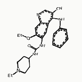 CCOc1cc2ncc(C#N)c(Nc3ccccc3)c2cc1NC(=O)NC1CCN(CC)CC1